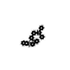 c1ccc(-c2cc(-c3ccccc3)nc(-c3cccc(-c4cccc(-n5c6ccccc6c6ccc7c(c65)Sc5cc6ccccc6cc5S7)c4)c3)n2)cc1